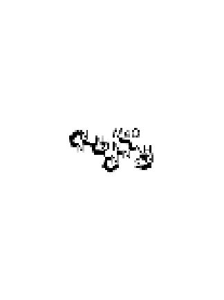 COc1cc(Nc2nccs2)nc(N2CCC[C@H]2c2cc(-c3ncccn3)no2)n1